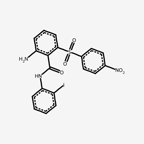 Nc1cccc(S(=O)(=O)c2ccc([N+](=O)[O-])cc2)c1C(=O)Nc1ccccc1I